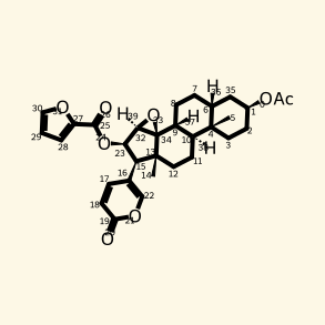 CC(=O)O[C@H]1CC[C@@]2(C)[C@H](CC[C@@H]3[C@@H]2CC[C@]2(C)[C@@H](c4ccc(=O)oc4)[C@@H](OC(=O)c4ccco4)[C@H]4O[C@]342)C1